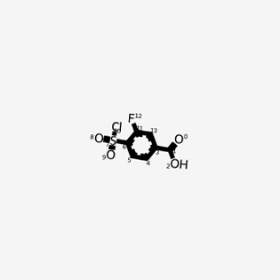 O=C(O)c1ccc(S(=O)(=O)Cl)c(F)c1